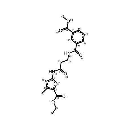 CCOC(=O)c1nc(NC(=O)CCNC(=O)c2cccc(C(=O)OC)c2)sc1C